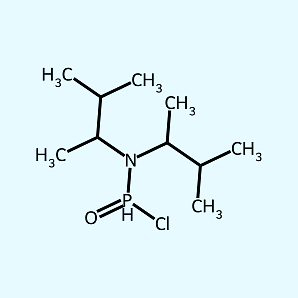 CC(C)C(C)N(C(C)C(C)C)[PH](=O)Cl